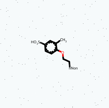 CCCCCCCCCCCOc1ccc(S(=O)(=O)O)cc1C